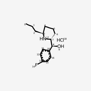 CCC[C@H]1CCC[C@H]([C@@H](O)c2ccc(F)cc2)N1.Cl